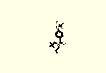 CCCN(CC(C)(C)C)C(=O)c1ccc(OC(F)(F)F)cc1